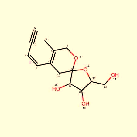 C#C/C=C\C1=C(C)COC2(C1)OC(CO)C(O)C2O